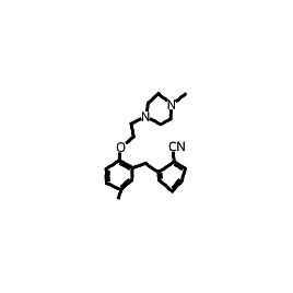 Cc1ccc(OCCN2CCN(C)CC2)c(Cc2ccccc2C#N)c1